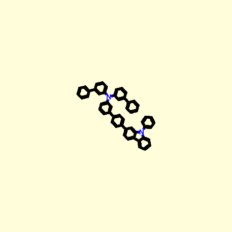 c1ccc(-c2cccc(N(c3cccc(-c4ccccc4)c3)c3cccc(-c4ccc(-c5ccc6c7ccccc7n(-c7ccccc7)c6c5)cc4)c3)c2)cc1